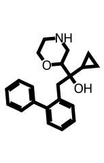 OC(Cc1ccccc1-c1ccccc1)(C1CC1)C1CNCCO1